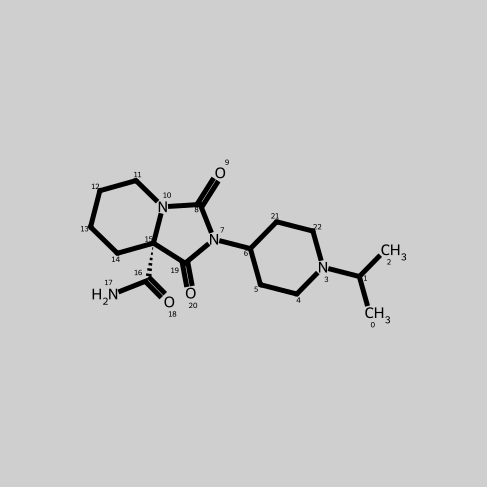 CC(C)N1CCC(N2C(=O)N3CCC[CH][C@]3(C(N)=O)C2=O)CC1